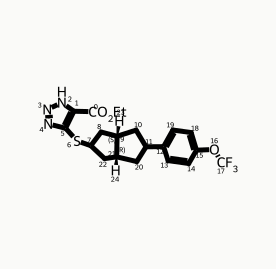 CCOC(=O)c1[nH]nnc1SC1C[C@@H]2CC(c3ccc(OC(F)(F)F)cc3)C[C@@H]2C1